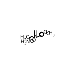 C=C(CC(=O)NCc1ccc(OC)cc1)C(N)=O